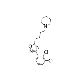 Clc1cccc(-c2noc(CCCCN3CCCCC3)n2)c1Cl